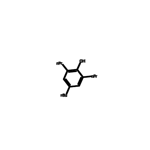 CCCCc1cc(CCC)c(O)c(CCC)c1